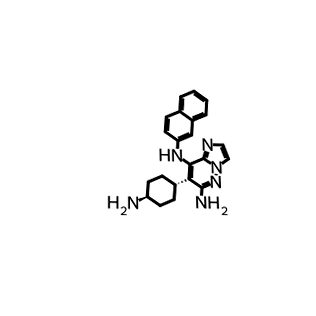 Nc1nn2ccnc2c(Nc2ccc3ccccc3c2)c1[C@H]1CC[C@H](N)CC1